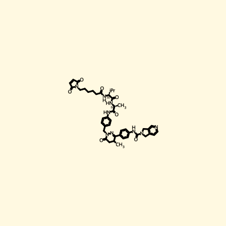 CC1CC(=O)N(Cc2ccc(NC(=O)[C@H](C)NC(=O)[C@@H](NC(=O)CCCCCN3C(=O)C=CC3=O)C(C)C)cc2)N=C1c1ccc(NC(=O)N2Cc3ccncc3C2)cc1